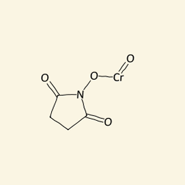 [O]=[Cr][O]N1C(=O)CCC1=O